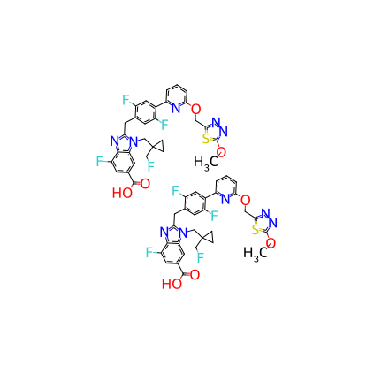 COc1nnc(COc2cccc(-c3cc(F)c(Cc4nc5c(F)cc(C(=O)O)cc5n4CC4(CF)CC4)cc3F)n2)s1.COc1nnc(COc2cccc(-c3cc(F)c(Cc4nc5c(F)cc(C(=O)O)cc5n4CC4(CF)CC4)cc3F)n2)s1